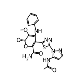 COc1c(Nc2ccccc2)c(-c2nnc(-n3nccc3NC(C)=O)s2)c(C(N)=O)oc1=O